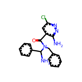 Nc1nnc(Cl)cc1C(=O)N(Cc1ccccc1)C(N)c1ccccc1